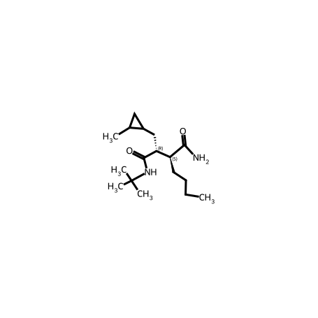 CCCC[C@H](C(N)=O)[C@@H](CC1CC1C)C(=O)NC(C)(C)C